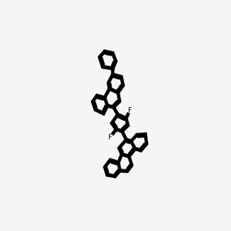 Fc1cc(-c2cc3c4ccccc4ccc3c3ccccc23)c(F)cc1-c1cc2ccc(-c3ccccc3)cc2c2ccccc12